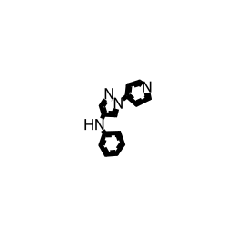 c1ccc(Nc2cnn(-c3ccncc3)c2)cc1